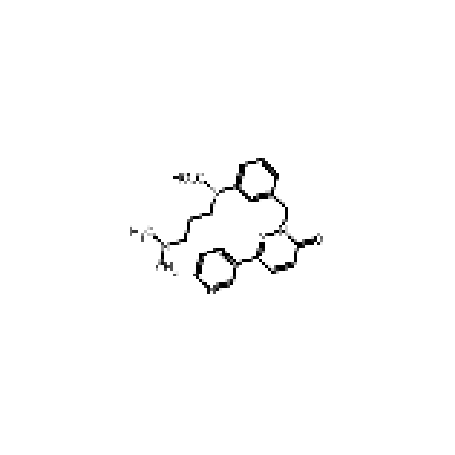 CN(C)CCCN(C(=O)O)c1cccc(Cn2nc(-c3cccnc3)ccc2=O)c1